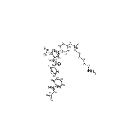 CN(CCCCCCN)CC1CCC(n2cc(NC(=O)c3coc(-c4ccnc(NCC5CC5)c4)n3)c(C(F)F)n2)CC1